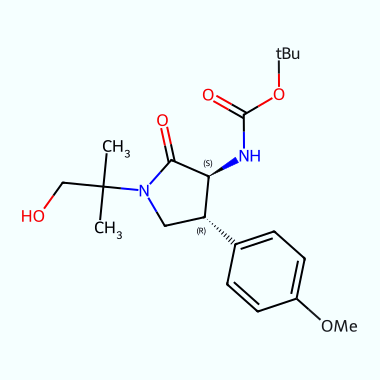 COc1ccc([C@@H]2CN(C(C)(C)CO)C(=O)[C@H]2NC(=O)OC(C)(C)C)cc1